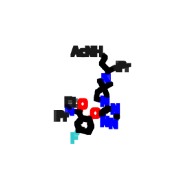 CCN(C(=O)c1cc(F)ccc1Oc1nncnc1N1CCC2(C1)CN(C(CCNC(C)=O)C(C)C)C2)C(C)C